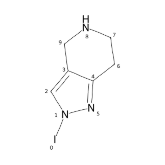 In1cc2c(n1)CCNC2